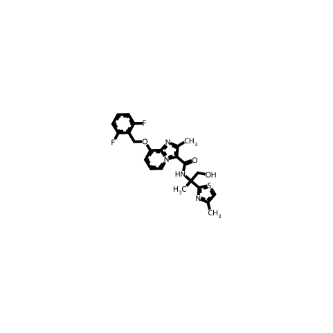 Cc1csc(C(C)(CO)NC(=O)c2c(C)nc3c(OCc4c(F)cccc4F)cccn23)n1